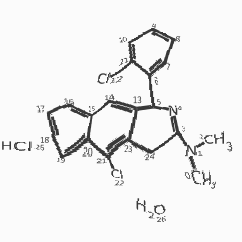 CN(C)C1=NC(c2ccccc2Cl)c2cc3ccccc3c(Cl)c2C1.Cl.O